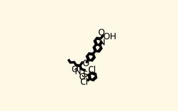 CCCc1onc(C[S+]([O-])c2c(Cl)cccc2Cl)c1COc1ccc(-c2ccc3nc(C(=O)O)ccc3c2)cc1